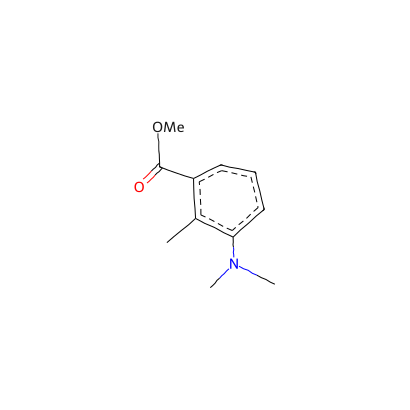 COC(=O)c1cccc(N(C)C)c1C